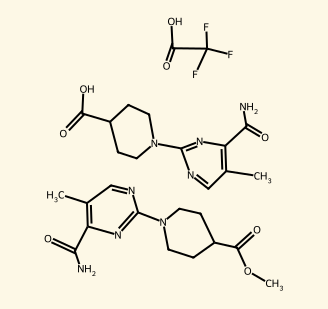 COC(=O)C1CCN(c2ncc(C)c(C(N)=O)n2)CC1.Cc1cnc(N2CCC(C(=O)O)CC2)nc1C(N)=O.O=C(O)C(F)(F)F